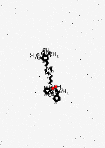 COc1cc(CCN2CCN(CCCCOc3ccccc3[N+]3(C(C)C)C(=O)C(C)=C4C=CC=CC4[S+]3[O-])CC2)cc(OC)c1OC